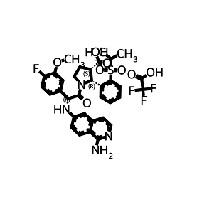 COc1cc([C@@H](Nc2ccc3c(N)nccc3c2)C(=O)N2CC[C@H](C(=O)O)[C@@H]2c2ccccc2S(=O)(=O)C(C)C)ccc1F.O=C(O)C(F)(F)F